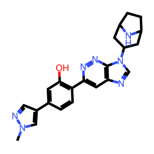 Cn1cc(-c2ccc(-c3cc4ncn(C5CC6CCC(C5)N6)c4nn3)c(O)c2)cn1